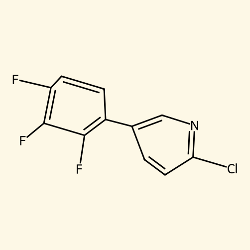 Fc1ccc(-c2ccc(Cl)nc2)c(F)c1F